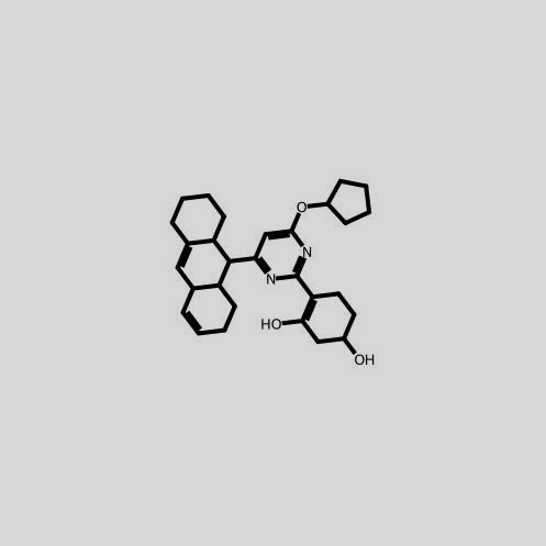 OC1=C(c2nc(OC3CCCC3)cc(C3C4CCCCC4=CC4C=CCCC43)n2)CCC(O)C1